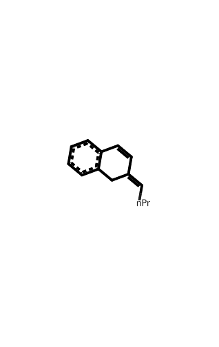 CCCC=C1C=Cc2ccccc2C1